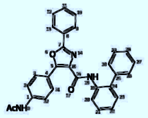 CC(=O)Nc1ccc(-c2oc(-c3ccccc3)nc2C(=O)Nc2ccccc2-c2ccccc2)cc1